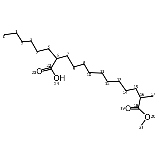 CCCCCCC(CCCCCCCCCC(C)C(=O)OC)C(=O)O